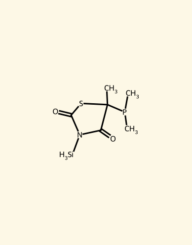 CP(C)C1(C)SC(=O)N([SiH3])C1=O